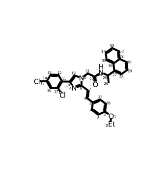 CCOc1ccc(C=Cc2nc(-c3ccc(Cl)cc3Cl)cn2CC(=O)NC(C)c2cccc3ccccc23)cc1